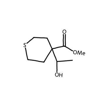 COC(=O)C1(C(C)O)CCSCC1